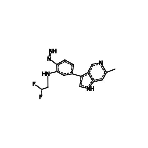 Cc1cc2[nH]cc(-c3ccc(N=N)c(NCC(F)F)c3)c2cn1